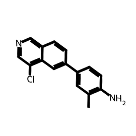 Cc1cc(-c2ccc3cncc(Cl)c3c2)ccc1N